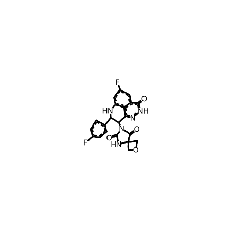 O=C1NC2(COC2)C(=O)N1C1c2n[nH]c(=O)c3cc(F)cc(c23)NC1c1ccc(F)cc1